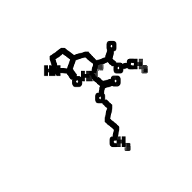 CCCCOC(=O)N[C@@H](CC1CCNC1=O)C(=O)OC